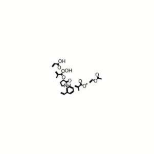 C=C(C)C(=O)OC.C=C(C)C(=O)OO.C=CC(=O)O.C=COC(C)=O.C=Cc1ccccc1.O=C1CCCN1